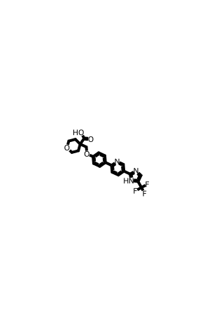 O=C(O)C1(COc2ccc(-c3ccc(-c4ncc(C(F)(F)F)[nH]4)cn3)cc2)CCOCC1